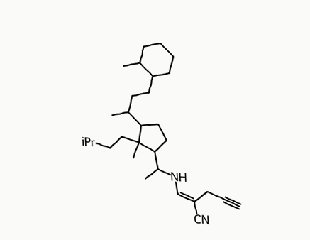 C#CC/C(C#N)=C\NC(C)C1CCC(C(C)CCC2CCCCC2C)C1(C)CCC(C)C